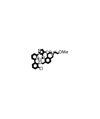 CCOc1c(C(=O)O)cnn1-c1cccc(-c2cccc(Cl)c2OCc2ccc3c(c2)CCN(CCOC)C3)n1